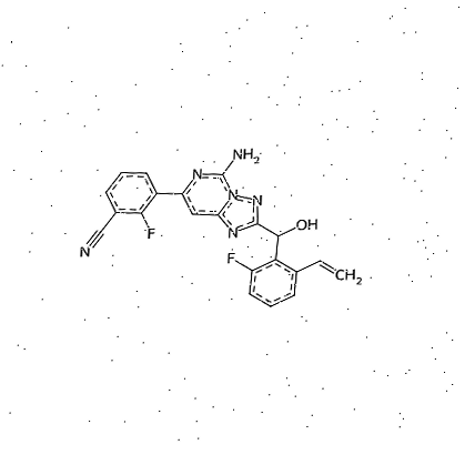 C=Cc1cccc(F)c1C(O)c1nc2cc(-c3cccc(C#N)c3F)nc(N)n2n1